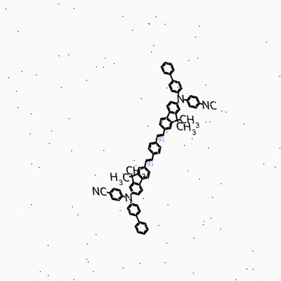 [C-]#[N+]c1ccc(N(c2ccc(-c3ccccc3)cc2)c2ccc3c(c2)C(C)(C)c2cc(/C=C/c4ccc(/C=C/c5ccc6c(c5)C(C)(C)c5cc(N(c7ccc(C#N)cc7)c7ccc(-c8ccccc8)cc7)ccc5-6)cc4)ccc2-3)cc1